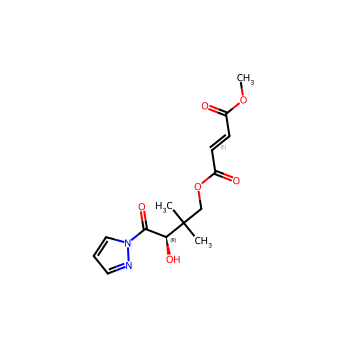 COC(=O)/C=C/C(=O)OCC(C)(C)[C@@H](O)C(=O)n1cccn1